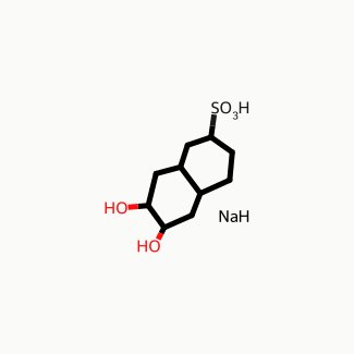 O=S(=O)(O)C1CCC2CC(O)C(O)CC2C1.[NaH]